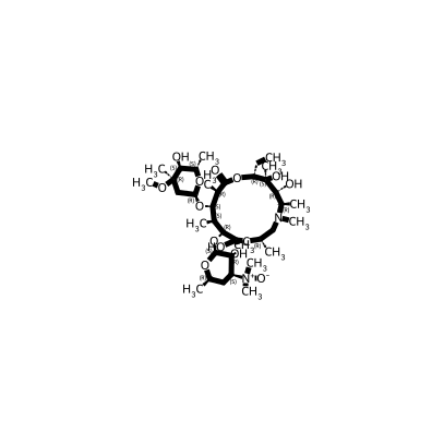 CC[C@H]1OC(=O)[C@H](C)[C@@H](O[C@H]2C[C@@](C)(OC)[C@@H](O)[C@H](C)O2)[C@H](C)[C@@H](O[C@@H]2O[C@H](C)C[C@H]([N+](C)(C)[O-])[C@H]2O)C(C)(O)C[C@@H](C)CN(C)[C@H](C)[C@@H](O)[C@]1(C)O